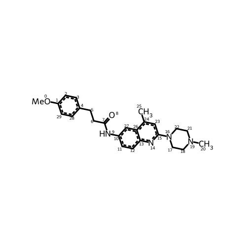 COc1ccc(CCC(=O)Nc2ccc3nc(N4CCN(C)CC4)cc(C)c3c2)cc1